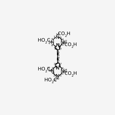 O=C(O)CN1CCN(CC(=O)O)Cc2cc(C#CC#Cc3cc4nc(c3)CN(CC(=O)O)CCN(CC(=O)O)CCN(CC(=O)O)C4)cc(n2)CN(CC(=O)O)CC1